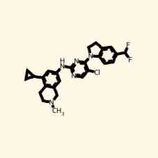 CN1CCc2c(cc(Nc3ncc(Cl)c(N4CCc5cc(C(F)F)ccc54)n3)cc2C2CC2)C1